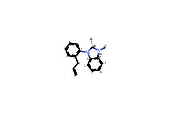 C=CCc1ccccc1N1c2ccccc2N(C)[C@H]1C